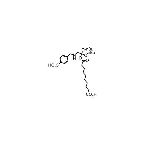 CCCCOC(CNCc1ccc(S(=O)(=O)O)cc1)(OCCCC)OC(=O)CCCCCCCCC(=O)O